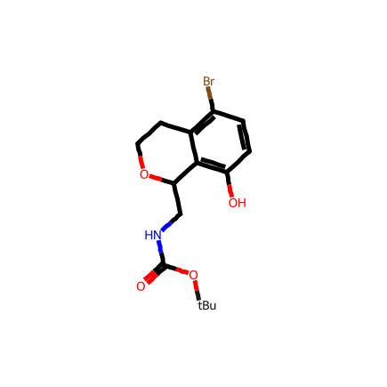 CC(C)(C)OC(=O)NCC1OCCc2c(Br)ccc(O)c21